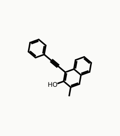 Cc1cc2ccccc2c(C#Cc2ccccc2)c1O